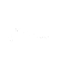 CCCCCCCCCCCCCC[N+](C)(C)CC1CO1